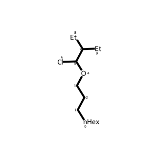 CCCCCCCCCOC(Cl)C(CC)CC